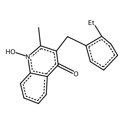 CCc1ccccc1Cc1c(C)n(O)c2ccccc2c1=O